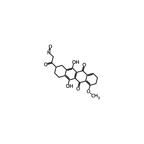 COC1=C2C(=O)c3c(O)c4c(c(O)c3C(=O)C2=CCC1)CC(C(=O)CN=O)CC4